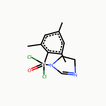 Cc1cc(C)[c]([V](=[O])([Cl])([Cl])[N]2C=NCC2)c(C)c1